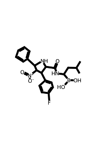 CC(C)CC(NC(=O)C1NC(c2ccccc2)C([N+](=O)[O-])C1c1ccc(F)cc1)B(O)O